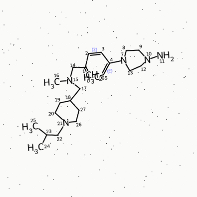 C=C(/C=C\C(=C/C)N1CCN(N)CC1)CN(C)CC1CCN(CC(C)C)CC1